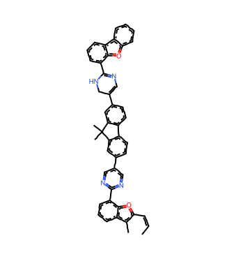 C/C=C\c1oc2c(-c3ncc(-c4ccc5c(c4)C(C)(C)c4cc(C6=CN=C(c7cccc8c7oc7ccccc78)NC6)ccc4-5)cn3)cccc2c1C